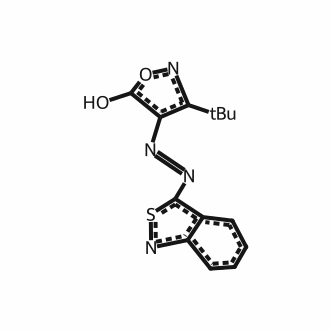 CC(C)(C)c1noc(O)c1N=Nc1snc2ccccc12